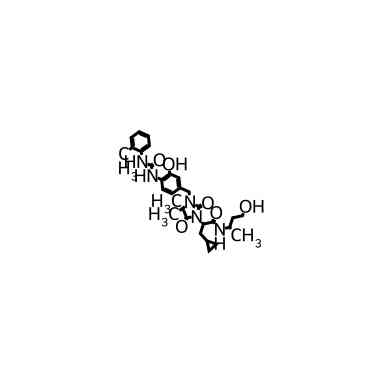 Cc1ccccc1NC(=O)Nc1ccc(CN2C(=O)N(C(CC3CC3)C(=O)NC(C)CCO)C(=O)C2(C)C)cc1O